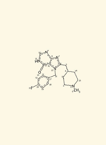 CN1CCC(Cc2nc3nc[nH]c(=O)c3n2Cc2ccc(F)cc2)CC1